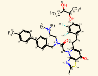 CCN(CC)CCN(Cc1ccc(-c2ccc(C(F)(F)F)cc2)cc1)C(=O)Cn1c(CCc2cccc(F)c2F)cc(=O)c2sc(C)nc21.O=C(O)C(O)C(O)C(=O)O